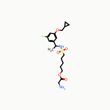 CC(NS(=O)(=O)CCCCCOC(=O)CN)c1cc(F)cc(OCC2CC2)c1